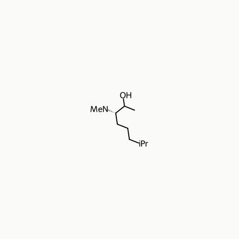 CN[C@@H](CCCC(C)C)C(C)O